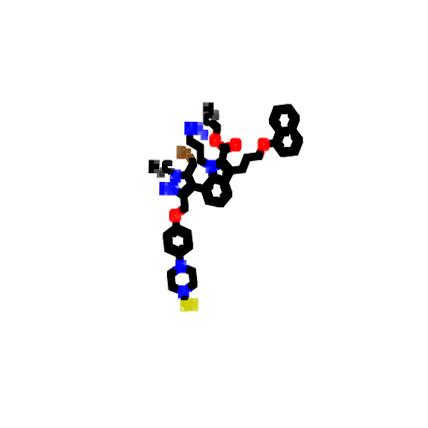 CCOC(=O)c1c(CCCOc2cccc3ccccc23)c2cccc(C3=C(COc4ccc(N5CCN(S)CC5)cc4)NN(C)C3CBr)c2n1CCCN